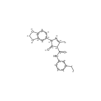 CCc1cccc(NC(=O)C2C(=O)N(c3ccc4c(c3)OCO4)N=C2C)c1